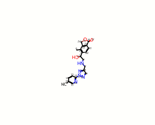 Cc1c(C(O)CNCc2cnn(-c3ccc(C#N)cn3)n2)ccc2c1COC2=O